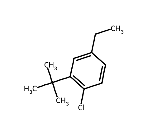 CCc1ccc(Cl)c(C(C)(C)C)c1